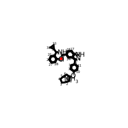 CN1C2CCC1CC(Oc1ccc(-c3n[nH]c4ccc(C(=O)NC(c5ccccc5Cl)C5CC5)cc34)cc1)C2